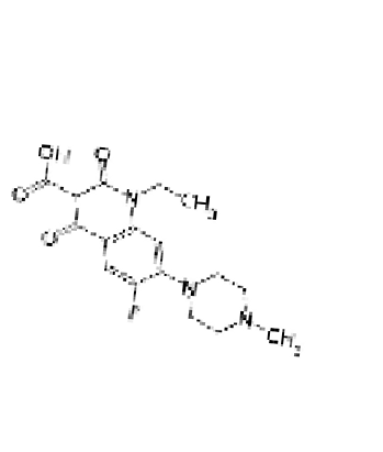 CCN1C(=O)C(C(=O)O)C(=O)c2cc(F)c(N3CCN(C)CC3)cc21